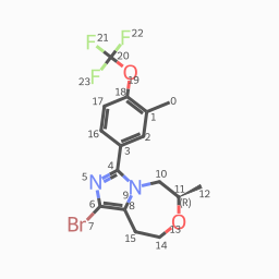 Cc1cc(-c2nc(Br)c3n2C[C@@H](C)OCC3)ccc1OC(F)(F)F